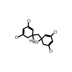 OC1(CC2(O)C=C(Cl)C=C(Cl)C2)C=C(Cl)C=C(Cl)C1